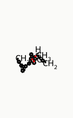 C=Cc1ccc(C2CC=C3C(C2)C2=C(CCC(c4ccc(N(C5=CCCCC5)c5ccc6c(c5)C(CCC[SiH](C)CCOC5=CCC(C=C)CC5)(C5C=CCCC5)c5ccccc5-6)cc4)=C2)N3c2ccccc2)cc1